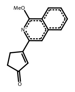 COc1nc(C2=CC(=O)CC2)cc2ccccc12